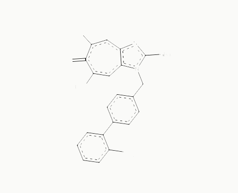 CCCCc1nc2cc(C)c(=O)c(C)cc2n1Cc1ccc(-c2ccccc2C(=O)O)cc1